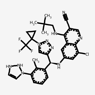 Cc1c([C@H](Nc2cc(Cl)c3ncc(C#N)c(NCC(C)(C)C)c3c2)c2cn(C3(C(F)(F)F)CC3)nn2)cccc1N1C=CNN1